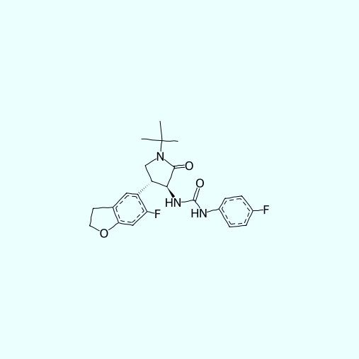 CC(C)(C)N1C[C@@H](c2cc3c(cc2F)OCC3)[C@H](NC(=O)Nc2ccc(F)cc2)C1=O